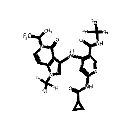 [2H]C([2H])([2H])NC(=O)c1cnc(NC(=O)C2CC2)cc1Nc1cn(C([2H])([2H])[2H])c2ccn(C(C)C(F)(F)F)c(=O)c12